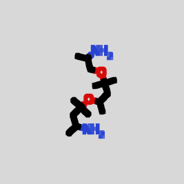 CC(N)COC(C)(C)CC(C)OC(C)(C)CC(C)N